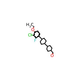 CCOc1ccc(C2CCC(C3CCC(C=O)CC3)CC2)c(F)c1Cl